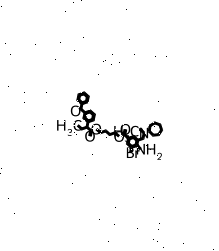 CCC(C(=O)OCCCCOC(=O)c1cc(Br)c(N)c(CN(CC)C2CCCCCC2)c1)c1cccc(C(=O)c2ccccc2)c1